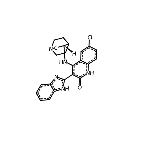 O=c1[nH]c2ccc(Cl)cc2c(N[C@@H]2CN3CCC2CC3)c1-c1nc2ccccc2[nH]1